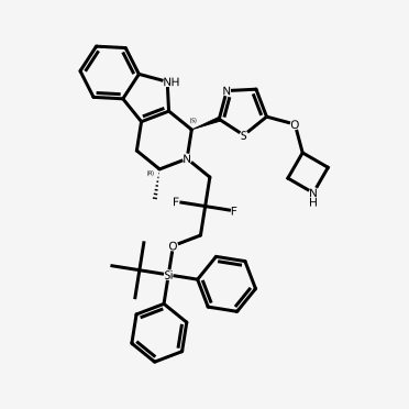 C[C@@H]1Cc2c([nH]c3ccccc23)[C@@H](c2ncc(OC3CNC3)s2)N1CC(F)(F)CO[Si](c1ccccc1)(c1ccccc1)C(C)(C)C